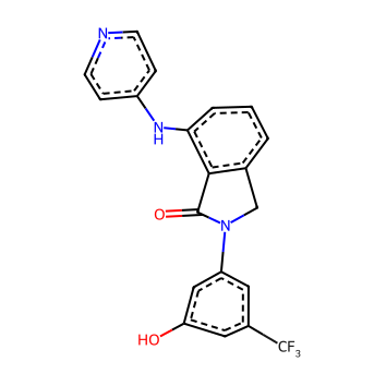 O=C1c2c(cccc2Nc2ccncc2)CN1c1cc(O)cc(C(F)(F)F)c1